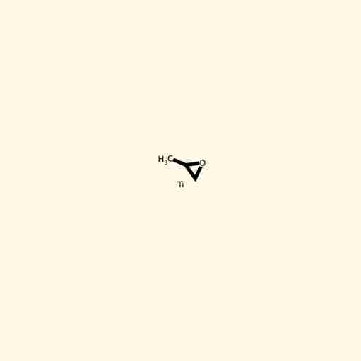 CC1CO1.[Ti]